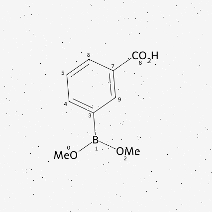 COB(OC)c1cccc(C(=O)O)c1